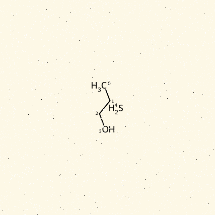 CCCO.S